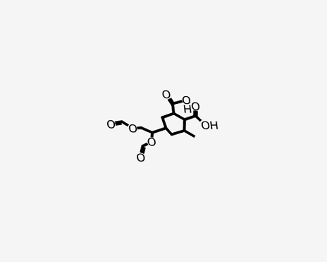 CC1CC(C(COC=O)OC=O)CC(C(=O)O)C1C(=O)O